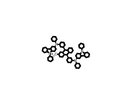 Cc1ccc2c(-c3cccc(N(c4ccccc4)c4ccc5c(c4)c4ccccc4n5-c4ccccc4)c3)c3ccccc3c(-c3cccc(N(c4ccccc4)c4ccc5c(c4)c4ccccc4n5-c4ccccc4)c3)c2c1